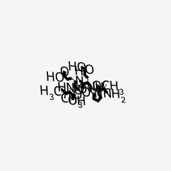 CC[C@H](C)[C@H](NC(=O)[C@H](CCC(=O)O)NC(=O)[C@H](CCC(=O)O)NC(=O)[C@@H]1CCCN1C(=O)[C@H](C)N)C(=O)O